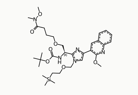 COc1nc2ccccc2cc1-c1cn(COCC[Si](C)(C)C)c([C@H](COCCCC(=O)N(C)OC)NC(=O)OC(C)(C)C)n1